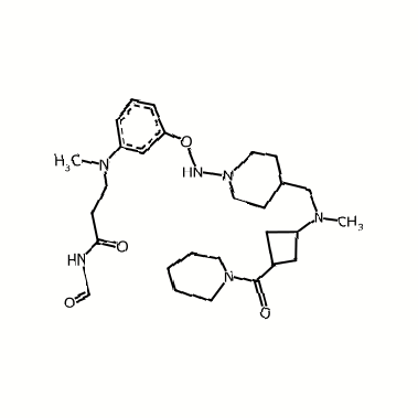 CN(CCC(=O)NC=O)c1cccc(ONN2CCC(CN(C)C3CC(C(=O)N4CCCCC4)C3)CC2)c1